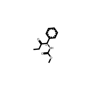 CCC(=O)[C@H](NC(=O)OC)c1ccccc1